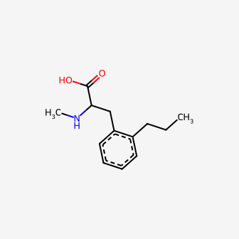 CCCc1ccccc1CC(NC)C(=O)O